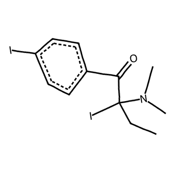 CCC(I)(C(=O)c1ccc(I)cc1)N(C)C